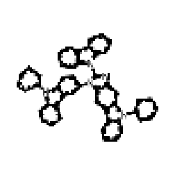 c1ccc(-n2c3ccccc3c3cc(-n4c(-n5c6ccccc6c6ccccc65)nc5cc6c(cc54)c4ccccc4n6-c4ccccc4)ccc32)cc1